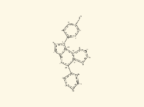 Fc1ccc(-n2ncc3cc(-c4cccnc4)c4cnccc4c32)cc1